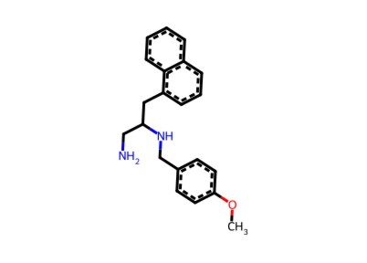 COc1ccc(CNC(CN)Cc2cccc3ccccc23)cc1